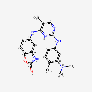 Cc1ccc(Nc2ncc([N+](=O)[O-])c(Nc3ccc4oc(=O)[nH]c4c3)n2)cc1N(C)C